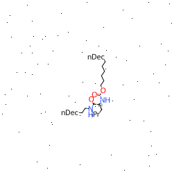 CCCCCCCCCCCCCCCCOC(=O)N[C@@H](CC(C)C)C(=O)NCCCCCCCCCCCC